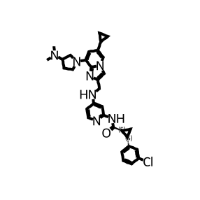 CN(C)C1CCN(c2cc(C3CC3)cn3cc(CNc4ccnc(NC(=O)[C@H]5C[C@@H]5c5cccc(Cl)c5)c4)nc23)C1